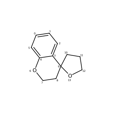 c1ccc2c(c1)OCCC21CCCO1